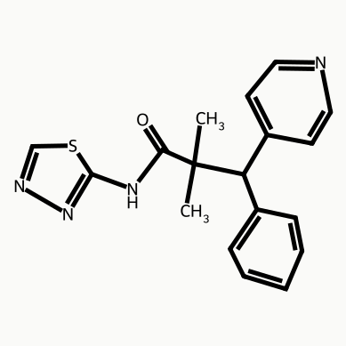 CC(C)(C(=O)Nc1nncs1)C(c1ccccc1)c1ccncc1